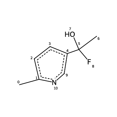 Cc1ccc(C(C)(O)F)cn1